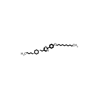 CCCCCCCCCCOc1ccc(-c2ncc(CC[C@H]3CC[C@H](CCCCC)CC3)cn2)cc1